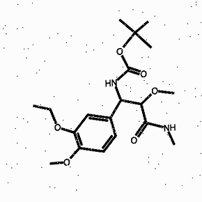 CCOc1cc(C(NC(=O)OC(C)(C)C)C(OC)C(=O)NC)ccc1OC